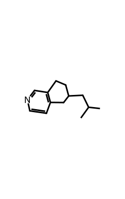 CC(C)CC1CCc2cnccc2C1